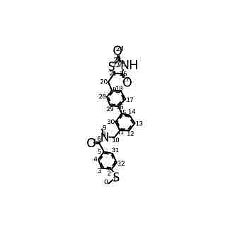 CSc1ccc(C(=O)N(C)Cc2cccc(-c3ccc(CC4SC(=O)NC4=O)cc3)c2)cc1